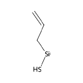 C=CC[Si]S